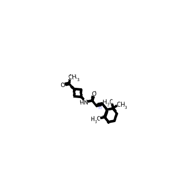 CC(=O)C1CC(NC(=O)/C=C/C2=C(C)CCCC2(C)C)C1